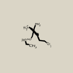 CCCC(C)(O)P.CCO